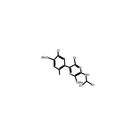 CCc1nc(NC(CC)CC)c(OC)nc1-c1cc(Cl)c(OC)cc1C